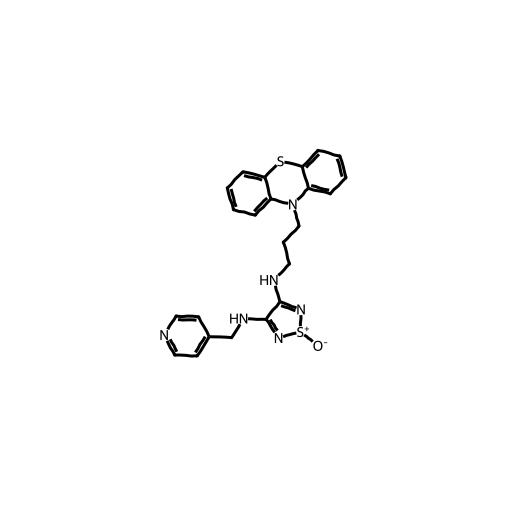 [O-][s+]1nc(NCCCN2c3ccccc3Sc3ccccc32)c(NCc2ccncc2)n1